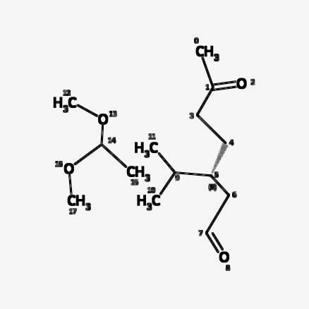 CC(=O)CC[C@H](CC=O)C(C)C.COC(C)OC